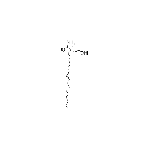 CCCCCCCCC=CCCCCCC[C@](C)(CCO)C(N)=O